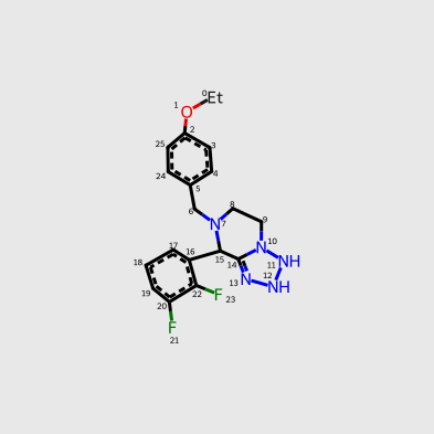 CCOc1ccc(CN2CCN3NNN=C3C2c2cccc(F)c2F)cc1